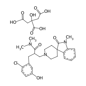 CN(C)C(=O)C(Cc1cc(O)ccc1Cl)CN1CCC2(CC1)C(=O)N(C)c1ccccc12.O=C(O)CC(O)(CC(=O)O)C(=O)O